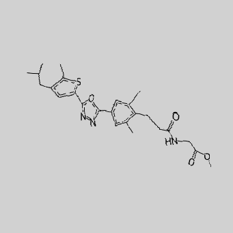 COC(=O)CNC(=O)CCc1c(C)cc(-c2nnc(-c3cc(CC(C)C)c(C)s3)o2)cc1C